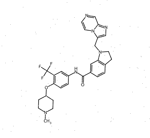 CN1CCC(Oc2ccc(NC(=O)c3ccc4c(c3)N(Cc3cnc5cnccn35)CC4)cc2C(F)(F)F)CC1